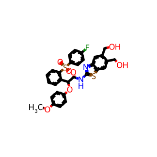 COc1ccc(OC(C(=O)Nc2nc3cc(CO)c(CO)cc3s2)c2ccccc2S(=O)(=O)c2ccc(F)cc2)cc1